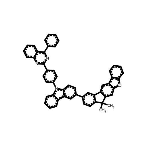 CC1(C)c2ccc(-c3ccc4c(c3)c3ccccc3n4-c3ccc(-c4nc(-c5ccccc5)c5ccccc5n4)cc3)cc2-c2cc3c(cc21)oc1ccccc13